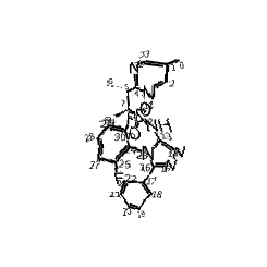 Cc1cnc([C@@H](C)[C@H](C)S(=O)(=O)Nc2nnc(-c3ccccc3)n2-c2c(F)cccc2F)nc1